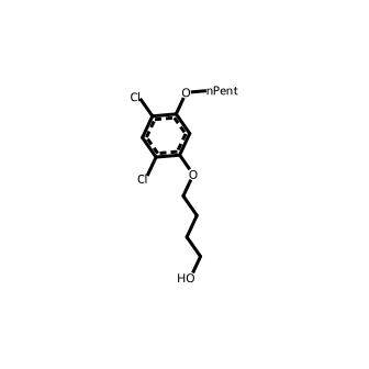 CCCCCOc1cc(OCCCCO)c(Cl)cc1Cl